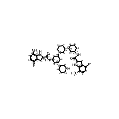 Cc1ccc(F)c2c1NC(C(=O)N[C@@H]1CCC[C@H](C3CCCN(C4C[C@H](NC(=O)C5Cc6c(F)ccc(C)c6N5)C[C@@H](C5CCCNC5)C4)C3)C1)C2